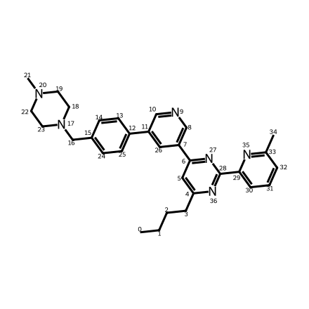 CCCCc1cc(-c2cncc(-c3ccc(CN4CCN(C)CC4)cc3)c2)nc(-c2cccc(C)n2)n1